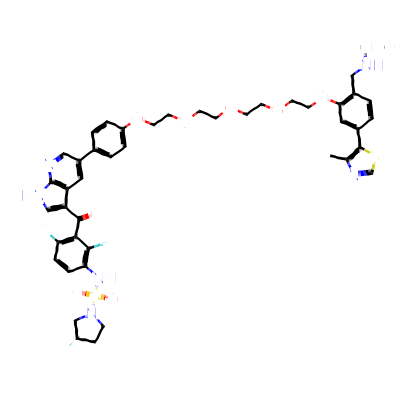 Cc1ncsc1-c1ccc(CNC=O)c(OCCOCCOCCOCCOc2ccc(-c3cnc4[nH]cc(C(=O)c5c(F)ccc(NS(=O)(=O)N6CC[C@@H](F)C6)c5F)c4c3)cc2)c1